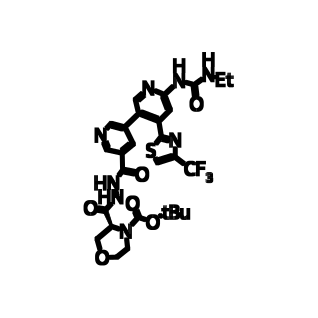 CCNC(=O)Nc1cc(-c2nc(C(F)(F)F)cs2)c(-c2cncc(C(=O)NNC(=O)[C@@H]3COCCN3C(=O)OC(C)(C)C)c2)cn1